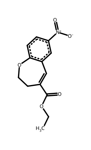 CCOC(=O)C1=Cc2cc([N+](=O)[O-])ccc2OCC1